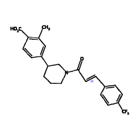 Cc1cc(C2CCCN(C(=O)/C=C/c3ccc(C(F)(F)F)cc3)C2)ccc1C(=O)O